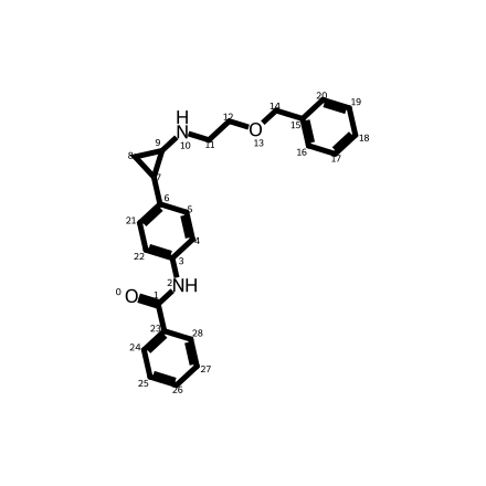 O=C(Nc1ccc(C2CC2NCCOCc2ccccc2)cc1)c1ccccc1